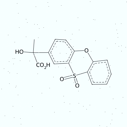 CC(O)(C(=O)O)c1ccc2c(c1)S(=O)(=O)c1ccccc1O2